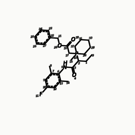 CCC(C(=O)Nc1c(C)cc(F)cc1C)P1(C)(CC(=O)OCc2ccccc2)CCCCC1